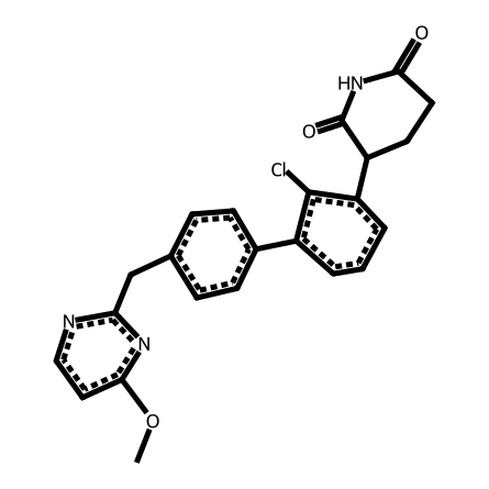 COc1ccnc(Cc2ccc(-c3cccc(C4CCC(=O)NC4=O)c3Cl)cc2)n1